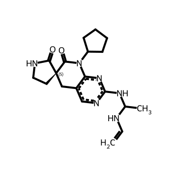 C=CNC(C)Nc1ncc2c(n1)N(C1CCCC1)C(=O)[C@]1(CCNC1=O)C2